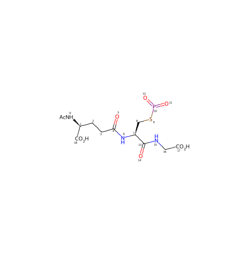 CC(=O)N[C@@H](CCC(=O)N[C@@H](CSP(=O)=O)C(=O)NCC(=O)O)C(=O)O